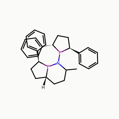 CC1CC[C@@H]2CC[C@@H](c3ccccc3)P2N1P1[C@H](c2ccccc2)CC[C@H]1c1ccccc1